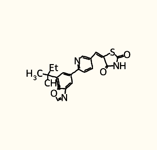 CCC(C)(C)c1cc(-c2ccc(C=C3SC(=O)NC3=O)cn2)cc2ncoc12